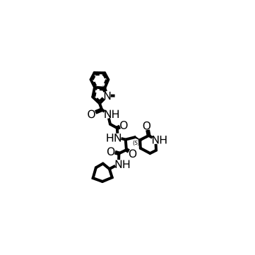 Cn1c(C(=O)NCC(=O)NC(C[C@@H]2CCCNC2=O)C(=O)C(=O)NC2CCCCC2)cc2ccccc21